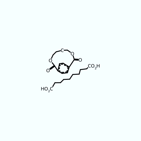 O=C(O)CCCCCCCCC(=O)O.O=C1OCCCCOC(=O)c2ccc1cc2